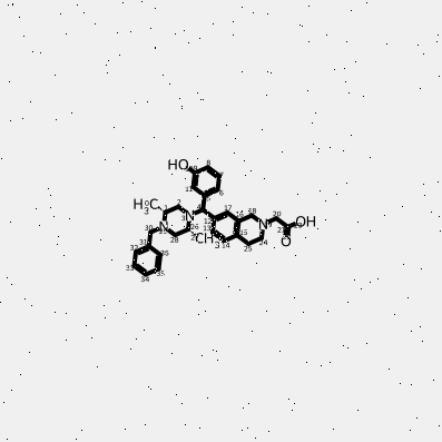 C[C@@H]1CN(C(c2cccc(O)c2)c2ccc3c(c2)CN(CC(=O)O)CC3)[C@H](C)CN1Cc1ccccc1